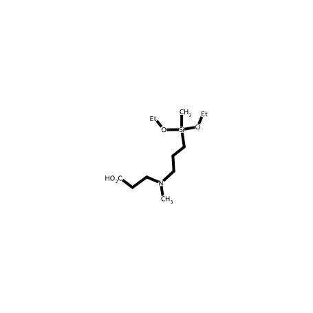 CCO[Si](C)(CCCN(C)CCC(=O)O)OCC